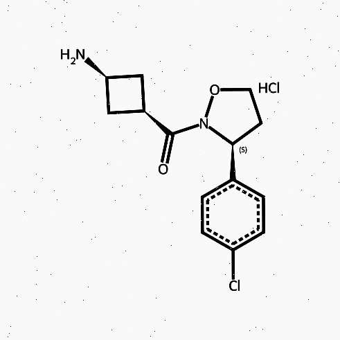 Cl.N[C@H]1C[C@@H](C(=O)N2OCC[C@H]2c2ccc(Cl)cc2)C1